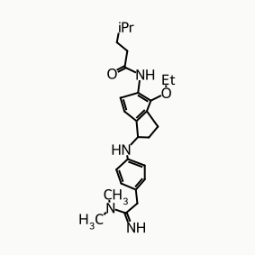 CCOc1c(NC(=O)CCC(C)C)ccc2c1CCC2Nc1ccc(CC(=N)N(C)C)cc1